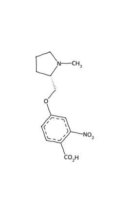 CN1CCC[C@H]1COc1ccc(C(=O)O)c([N+](=O)[O-])c1